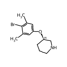 Cc1cc(O[C@@H]2CCCNC2)cc(C)c1Br